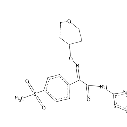 CS(=O)(=O)c1ccc(/C(=N\OC2CCOCC2)C(=O)Nc2ncc(Cl)s2)cc1